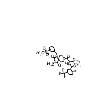 CC(C)C(NC(=O)c1cc(C(F)(F)F)ccc1F)C(=O)N1CCC2(CC1)C(=O)N(C)C(=O)N2Cc1cccc(S(C)(=O)=O)c1